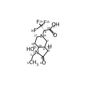 CCN1C(=O)C[C@@H]2CN([C@@H](C(=O)O)C(F)(F)F)CC[C@@]21O